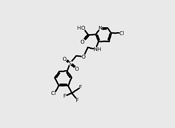 O=C(O)c1ncc(Cl)cc1NCOCS(=O)(=O)c1ccc(Cl)c(C(F)(F)F)c1